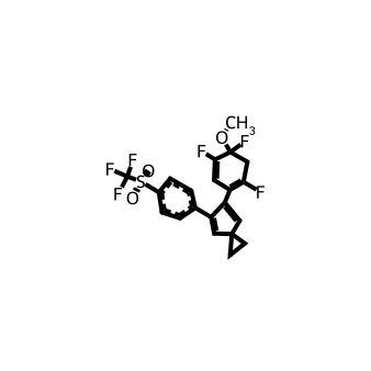 COC1(F)CC(F)=C(C2=CC3(C=C2c2ccc(S(=O)(=O)C(F)(F)F)cc2)CC3)C=C1F